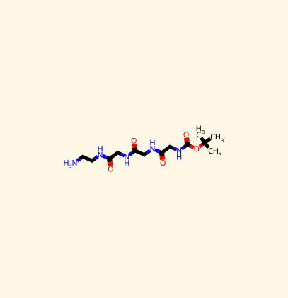 CC(C)(C)OC(=O)NCC(=O)NCC(=O)NCC(=O)NCCN